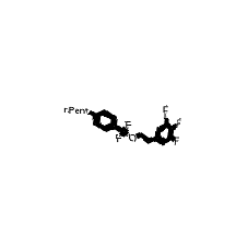 CCCCCc1ccc(C(F)(F)OCCc2cc(F)c(F)c(F)c2)cc1